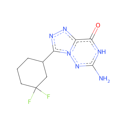 Nc1nn2c(C3CCCC(F)(F)C3)nnc2c(=O)[nH]1